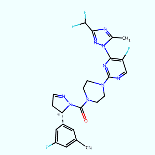 Cc1nc(C(F)F)nn1-c1nc(N2CCN(C(=O)N3N=CC[C@H]3c3cc(F)cc(C#N)c3)CC2)ncc1F